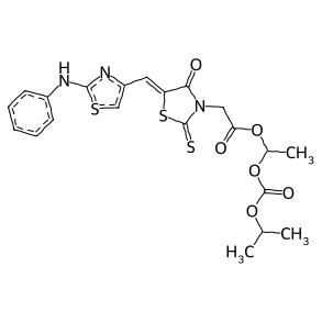 CC(C)OC(=O)OC(C)OC(=O)CN1C(=O)C(=Cc2csc(Nc3ccccc3)n2)SC1=S